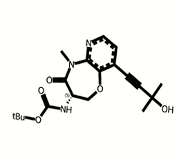 CN1C(=O)[C@@H](NC(=O)OC(C)(C)C)COc2c(C#CC(C)(C)O)ccnc21